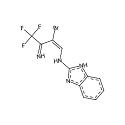 N=C(/C(Br)=C\Nc1nc2ccccc2[nH]1)C(F)(F)F